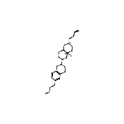 C=CCC[C@@H]1CC[C@@H]2CC(C3CCc4cc(CCCC)ccc4C3)CCC2C1